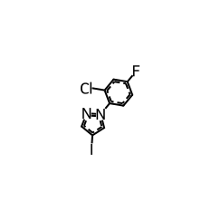 Fc1ccc(-n2cc(I)cn2)c(Cl)c1